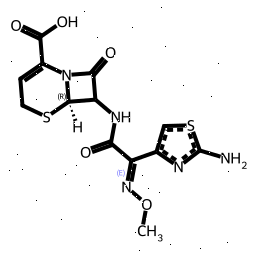 CO/N=C(/C(=O)NC1C(=O)N2C(C(=O)O)=CCS[C@H]12)c1csc(N)n1